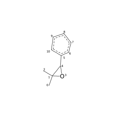 CC1(C)OC1c1ccccc1